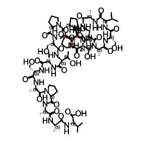 CC(C)[C@H](NC(=O)[C@H](C)NC(=O)[C@H](C)NC(=O)[C@@H]1CCCN1C(=O)[C@H](C)NC(=O)[C@H](CO)NC(=O)[C@H](C)NC(=O)[C@@H](NC(=O)[C@H](CO)NC(=O)[C@@H]1CCCN1C(=O)[C@@H]1CCCN1C(=O)[C@@H]1CCCN1C(=O)[C@@H](NC(=O)[C@H](C)NC(=O)[C@H](C)NC(=O)[C@@H](NC(=O)[C@H](CO)NC(=O)[C@H](C)NC(=O)[C@H](CO)NC(=O)[C@@H](N)[C@@H](C)O)C(C)C)[C@@H](C)O)[C@@H](C)O)C(=O)O